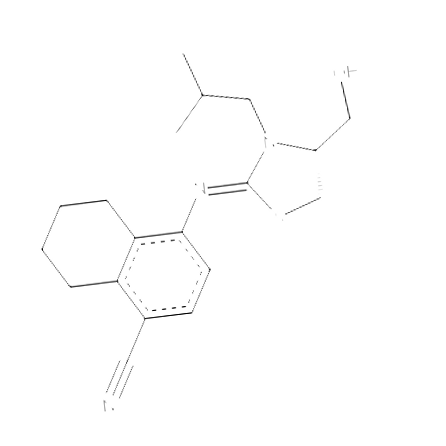 CC(C)CN1C(=Nc2ccc(C#N)c3c2CCCC3)SC[C@H]1[C@@H](C)O